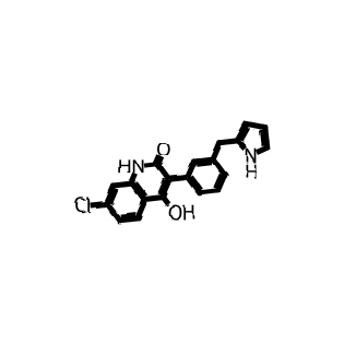 O=c1[nH]c2cc(Cl)ccc2c(O)c1-c1cccc(Cc2ccc[nH]2)c1